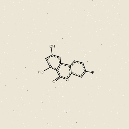 O=c1oc2cc(F)ccc2c2cc(O)cc(O)c12